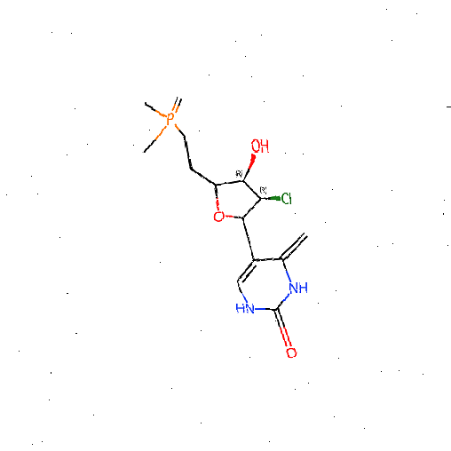 C=C1NC(=O)NC=C1C1OC(CCP(=C)(C)C)[C@@H](O)[C@H]1Cl